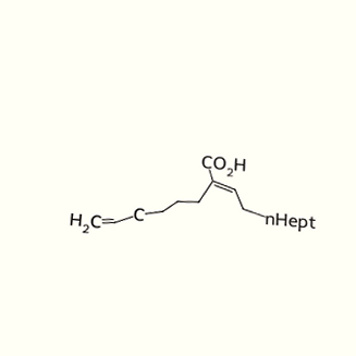 C=CCCCCC(=CCCCCCCCC)C(=O)O